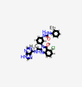 CCc1ccccc1NC(=O)Nc1cccc(-n2c([C@H](C)Nc3ncnc4[nH]cnc34)nc3cccc(Cl)c3c2=O)c1